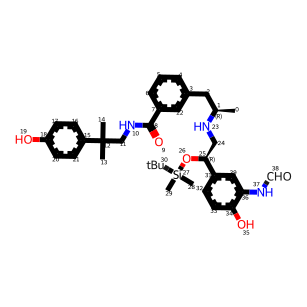 C[C@H](Cc1cccc(C(=O)NCC(C)(C)c2ccc(O)cc2)c1)NC[C@H](O[Si](C)(C)C(C)(C)C)c1ccc(O)c(NC=O)c1